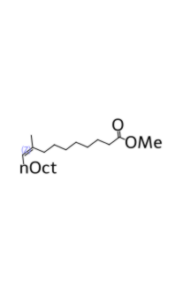 CCCCCCCC/C=C(/C)CCCCCCCC(=O)OC